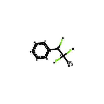 FC(c1ccccc1)C(F)(F)C(F)(F)F